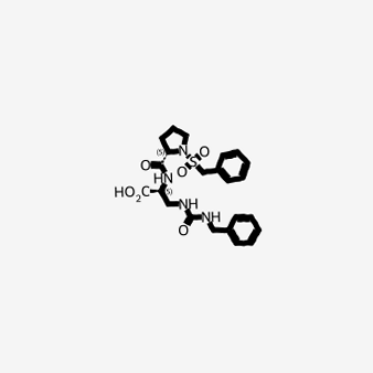 O=C(NCc1ccccc1)NC[C@H](NC(=O)[C@@H]1CCCN1S(=O)(=O)Cc1ccccc1)C(=O)O